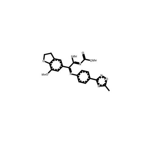 COC(=O)/N=C(SC)/C(=N\c1ccc(-c2noc(C)n2)cc1)c1cc2c(c(OC)c1)OCC2